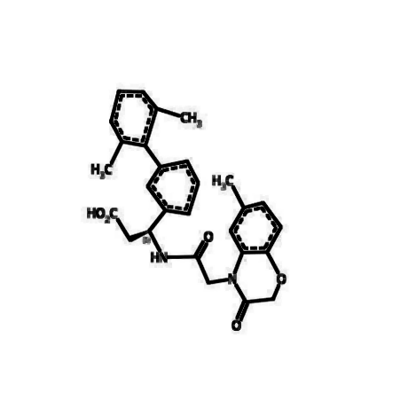 Cc1ccc2c(c1)N(CC(=O)N[C@@H](CC(=O)O)c1cccc(-c3c(C)cccc3C)c1)C(=O)CO2